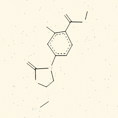 CC(C)(C)OC(=O)c1ccc(N2C[C@H](CO)OC2=O)cc1F